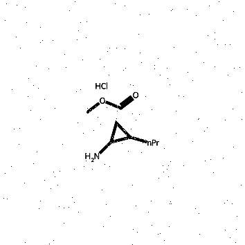 CCCC1CC1N.COC=O.Cl